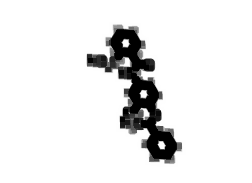 CC(Oc1ccc(NC(=O)c2ccccc2C(=O)O)cc1Cl)c1ccccc1